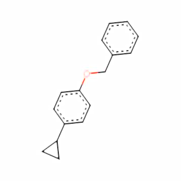 c1ccc(COc2ccc(C3CC3)cc2)cc1